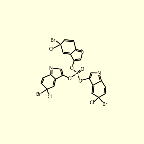 O=P(OC1=CN=C2C=CC(Cl)(Br)C=C12)(OC1=CN=C2C=CC(Cl)(Br)C=C12)OC1=CN=C2C=CC(Cl)(Br)C=C12